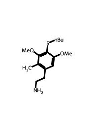 CCCCSc1c(OC)cc(CCN)c(C)c1OC